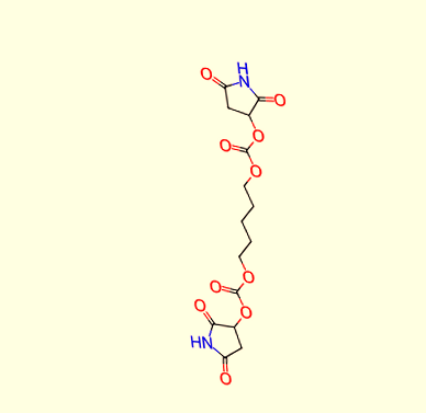 O=C1CC(OC(=O)OCCCCCOC(=O)OC2CC(=O)NC2=O)C(=O)N1